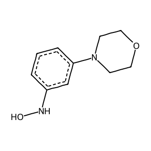 ONc1cccc(N2CCOCC2)c1